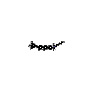 CCCCCCC/C(F)=C(\F)c1ccc(-c2ccc(-c3ccc(CCc4cc(F)c(F)c(F)c4)c(F)c3)c(F)c2)cc1